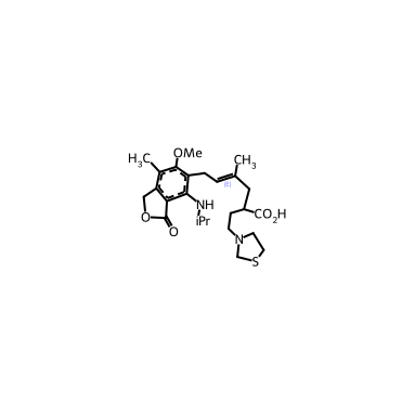 COc1c(C)c2c(c(NC(C)C)c1C/C=C(\C)CC(CCN1CCSC1)C(=O)O)C(=O)OC2